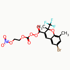 Cc1cc(Br)cc2c1OC(C)(C(F)(F)F)C(C(=O)OOC(=O)OCCO[N+](=O)[O-])=C2